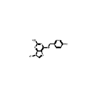 CCCn1cnc2c(NCc3ccc(Cl)cc3)nc(N)nc21